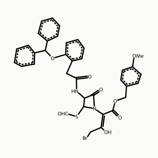 COc1ccc(COC(=O)/C(=C(\O)CBr)N2C(=O)C(NC(=O)Cc3ccccc3OC(c3ccccc3)c3ccccc3)C2SC=O)cc1